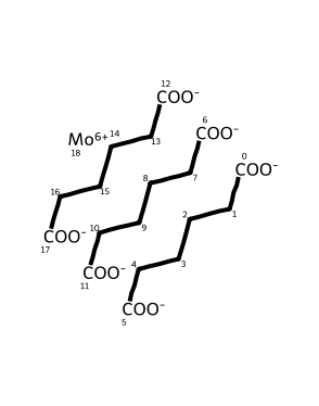 O=C([O-])CCCCC(=O)[O-].O=C([O-])CCCCC(=O)[O-].O=C([O-])CCCCC(=O)[O-].[Mo+6]